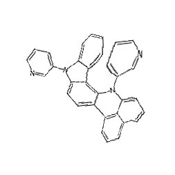 c1cncc(N2c3cccc4cccc(c34)-c3ccc4c(c32)c2ccccc2n4-c2cccnc2)c1